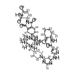 [2H]C1([2H])N(CC2CCN(c3cc(Nc4ncc(C(=O)Nc5c(C)cccc5Cl)s4)nc(C)n3)CC2)C([2H])([2H])C([2H])([2H])N(c2ccc3c(c2)C(=O)N(C2CCC(=O)NC2=O)C3=O)C1([2H])[2H]